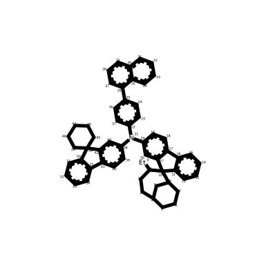 CCC1CCC2CCCC(C2)C12c1ccccc1-c1ccc(N(c3ccc(-c4cccc5ccccc45)cc3)c3ccc4c(c3)C3(CCCCC3)c3ccccc3-4)cc12